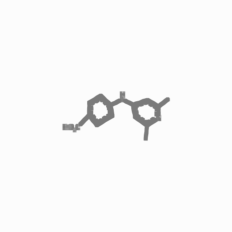 CCOC(=O)c1ccc(Nc2cc(C)nc(C)c2)cc1